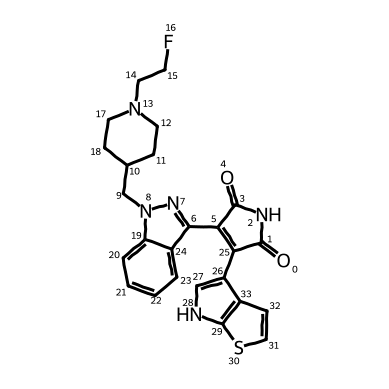 O=C1NC(=O)C(c2nn(CC3CCN(CCF)CC3)c3ccccc23)=C1c1c[nH]c2sccc12